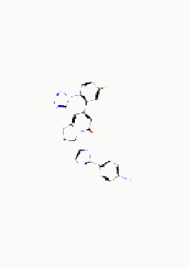 Nc1ccc(-c2ncc([C@@H]3CCc4cc(-c5cc(Cl)ccc5-n5cnnn5)cc(=O)n43)[nH]2)cc1